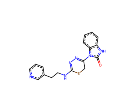 O=c1[nH]c2ccccc2n1C1=NN=C(NCCc2cccnc2)SC1